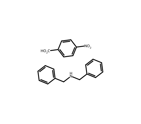 O=C(O)c1ccc([N+](=O)[O-])cc1.c1ccc(CNCc2ccccc2)cc1